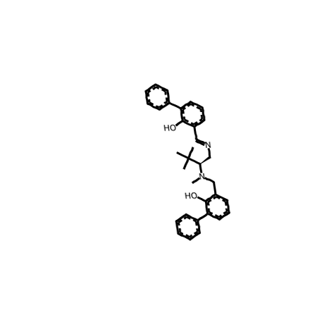 CN(Cc1cccc(-c2ccccc2)c1O)[C@H](C/N=C/c1cccc(-c2ccccc2)c1O)C(C)(C)C